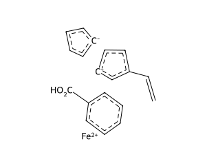 C=Cc1cc[cH-]c1.O=C(O)c1ccccc1.[Fe+2].c1cc[cH-]c1